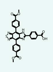 COC(=O)c1ccc(-c2c3nsnc3c(-c3ccc(C(=O)OC)cc3)c3[nH]c(-c4ccc(C(=O)O)cc4)nc23)cc1